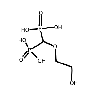 O=P(O)(O)C(OCCO)P(=O)(O)O